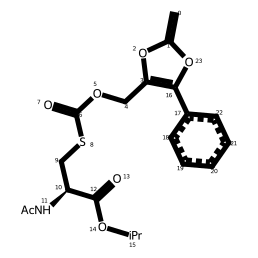 C=C1OC(COC(=O)SC[C@H](NC(C)=O)C(=O)OC(C)C)=C(c2ccccc2)O1